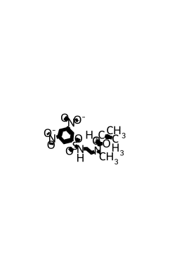 CN(CCNS(=O)(=O)c1cc([N+](=O)[O-])cc([N+](=O)[O-])c1)C(=O)OC(C)(C)C